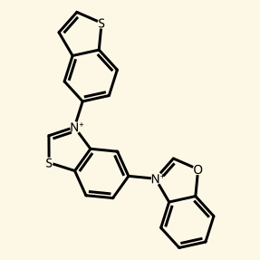 c1ccc2c(c1)oc[n+]2-c1ccc2sc[n+](-c3ccc4sccc4c3)c2c1